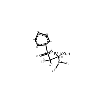 CCC(Cl)([C@@](F)(C(=O)O)N(F)F)S(=O)(=O)c1ccccc1